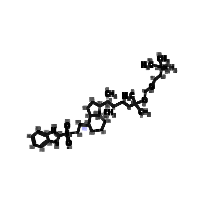 C[C@H](CCCC(C)(C)OCOCC[Si](C)(C)C)C1CCC2/C(=C/CS(=O)(=O)c3nc4ccccc4s3)CCC[C@@]21C